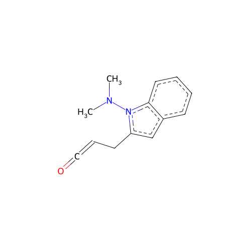 CN(C)n1c(CC=C=O)cc2ccccc21